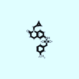 Cc1cccc(CS(=O)(=O)Nc2ccc3c(c2)CCC(=O)N3CC2CC2)c1